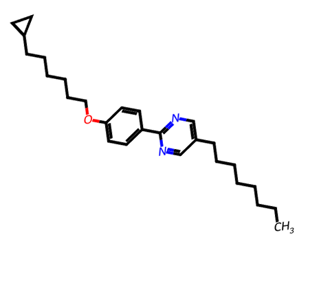 CCCCCCCCc1cnc(-c2ccc(OCCCCCCC3CC3)cc2)nc1